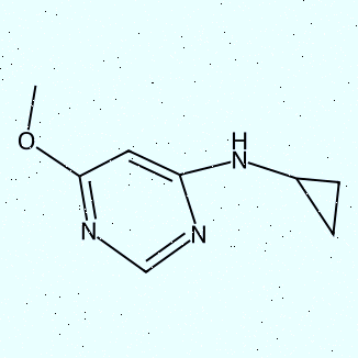 COc1cc(NC2CC2)ncn1